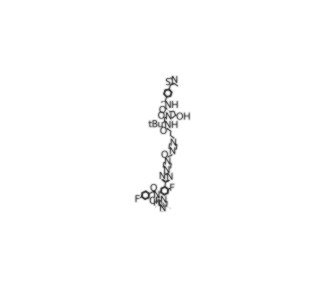 Cc1ncsc1-c1ccc([C@H](C)NC(=O)[C@@H]2C[C@@H](O)CN2C(=O)[C@@H](NC(=O)CCCN2CCN(CC(=O)N3CCN(c4ncc(-c5cc(NC(=O)c6ccc(F)cc6C(F)(F)F)c(N6C[C@@H](C)N(C)[C@@H](C)C6)cc5F)cn4)CC3)CC2)C(C)(C)C)cc1